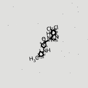 CC1CCC(N[C@@H]2CCN(C(=O)CNc3ncnc4cc(Cl)c(Cl)cc34)C2)CC1